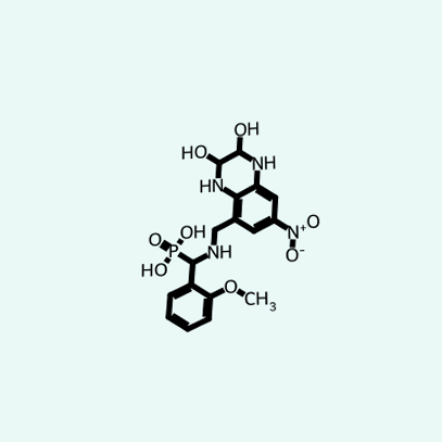 COc1ccccc1C(NCc1cc([N+](=O)[O-])cc2c1NC(O)C(O)N2)P(=O)(O)O